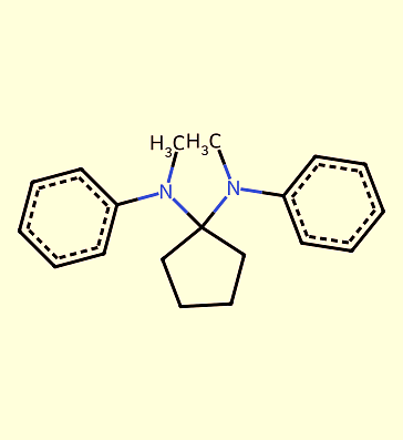 CN(c1ccccc1)C1(N(C)c2ccccc2)CCCC1